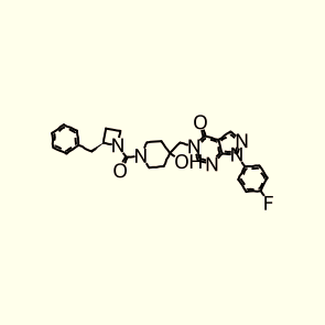 O=C(N1CCC(O)(Cn2cnc3c(cnn3-c3ccc(F)cc3)c2=O)CC1)N1CC[C@@H]1Cc1ccccc1